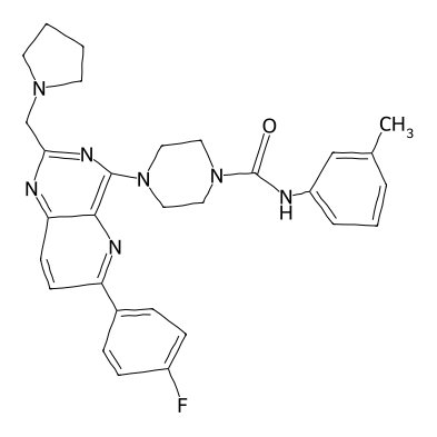 Cc1cccc(NC(=O)N2CCN(c3nc(CN4CCCC4)nc4ccc(-c5ccc(F)cc5)nc34)CC2)c1